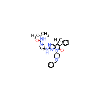 Cc1ccccc1-c1cc2cnc(N[C@H]3CCN(C(=O)NC(C)C)C3)nc2n(C2CCN(Cc3ccccc3)CC2)c1=O